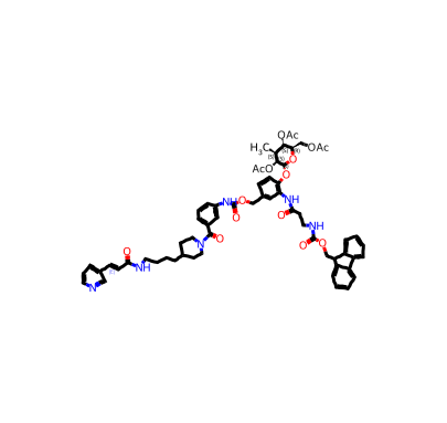 CC(=O)OC[C@H]1O[C@H](Oc2ccc(COC(=O)Nc3cccc(C(=O)N4CCC(CCCCNC(=O)/C=C/c5cccnc5)CC4)c3)cc2NC(=O)CCNC(=O)OCC2c3ccccc3-c3ccccc32)[C@@H](OC(C)=O)[C@@H](C)[C@@H]1OC(C)=O